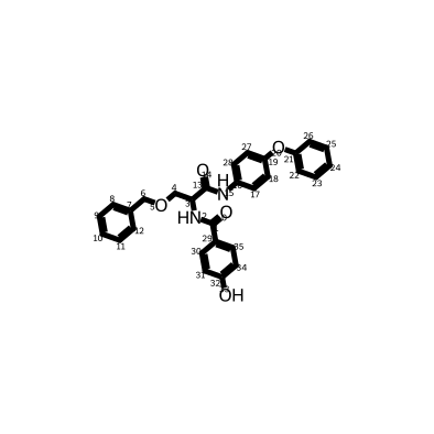 O=C(NC(COCc1ccccc1)C(=O)Nc1ccc(Oc2ccccc2)cc1)c1ccc(O)cc1